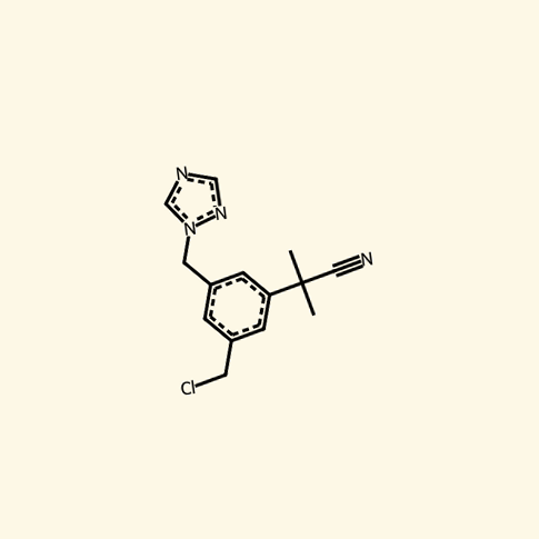 CC(C)(C#N)c1cc(CCl)cc(Cn2cncn2)c1